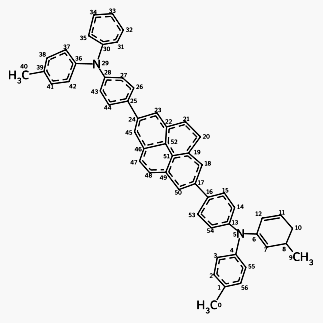 Cc1ccc(N(C2=CC(C)CC=C2)c2ccc(-c3cc4ccc5cc(-c6ccc(N(c7ccccc7)c7ccc(C)cc7)cc6)cc6ccc(c3)c4c56)cc2)cc1